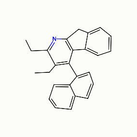 CCc1nc2c(c(-c3cccc4ccccc34)c1CC)-c1ccccc1C2